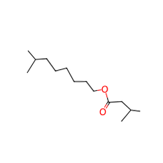 CC(C)CCCCCCOC(=O)CC(C)C